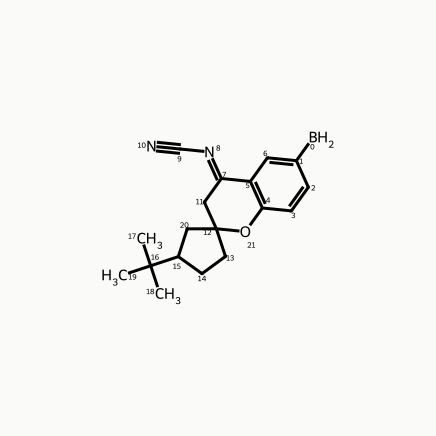 Bc1ccc2c(c1)/C(=N/C#N)CC1(CCC(C(C)(C)C)C1)O2